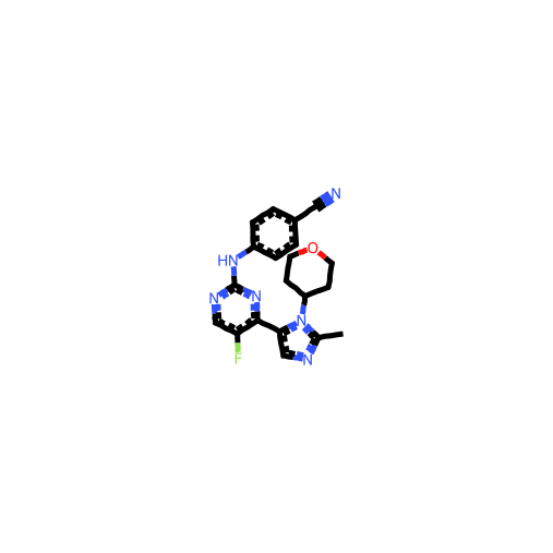 Cc1ncc(-c2nc(Nc3ccc(C#N)cc3)ncc2F)n1C1CCOCC1